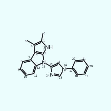 Cc1[nH]c2c(c1C)c1ccccc1n2-c1cn(-c2ccccc2)cn1